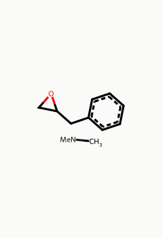 CNC.c1ccc(CC2CO2)cc1